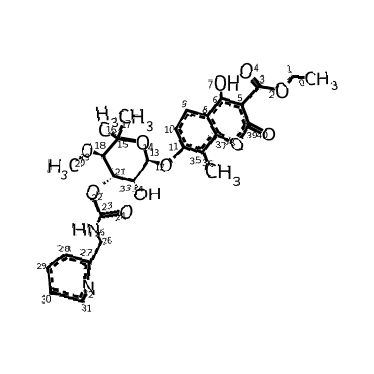 CCOC(=O)c1c(O)c2ccc(O[C@@H]3OC(C)(C)[C@H](OC)[C@@H](OC(=O)NCc4ccccn4)[C@H]3O)c(C)c2oc1=O